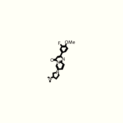 COc1ccc(-c2cc(=O)n3cc(N4CCC(N(C)C)C4)ccc3n2)cc1F